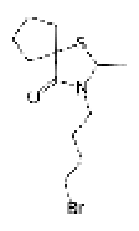 CC1SC2(CCCC2)C(=O)N1CCCCBr